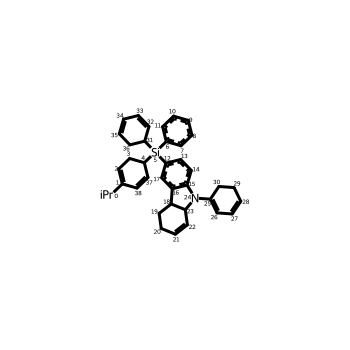 CC(C)C1=CCC([Si](c2ccccc2)(c2ccc3c(c2)C2CCC=CC2N3C2=CC=CCC2)C2C=CC=CC2)C=C1